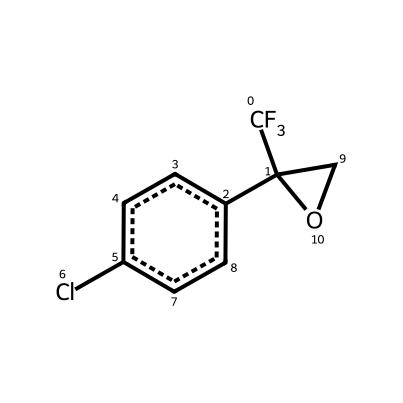 FC(F)(F)C1(c2ccc(Cl)cc2)CO1